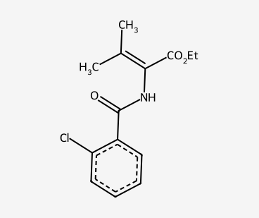 CCOC(=O)C(NC(=O)c1ccccc1Cl)=C(C)C